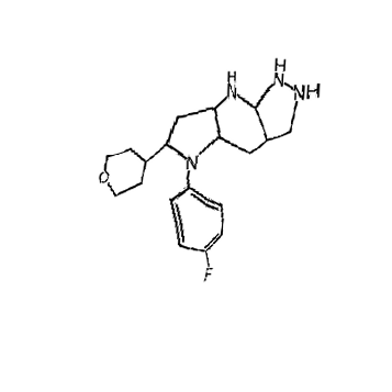 Fc1ccc(N2C(C3CCOCC3)CC3NC4NNCC4CC32)cc1